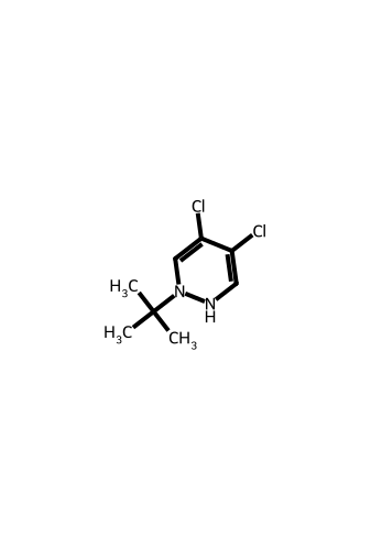 CC(C)(C)N1C=C(Cl)C(Cl)=CN1